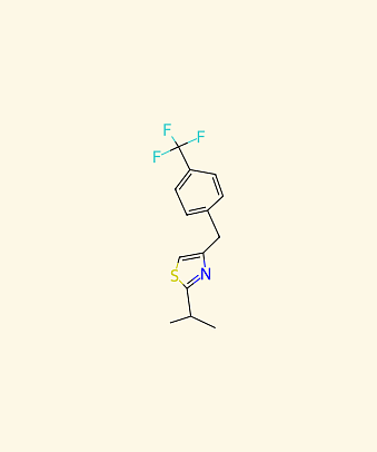 CC(C)c1nc(Cc2ccc(C(F)(F)F)cc2)cs1